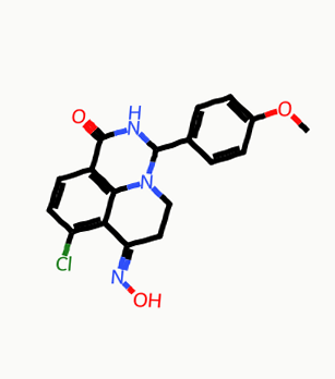 COc1ccc(C2NC(=O)c3ccc(Cl)c4c3N2CCC4=NO)cc1